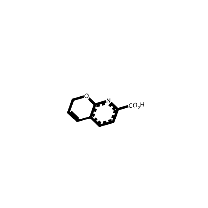 O=C(O)c1ccc2c(n1)OCC=C2